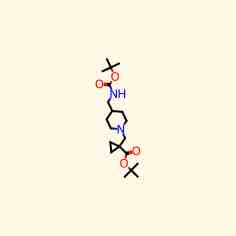 CC(C)(C)OC(=O)NCC1CCN(CC2(C(=O)OC(C)(C)C)CC2)CC1